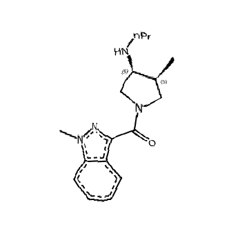 CCCN[C@@H]1CN(C(=O)c2nn(C)c3ccccc23)C[C@@H]1C